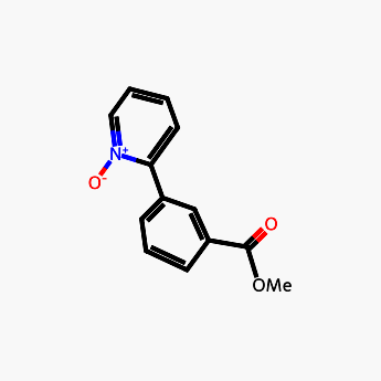 COC(=O)c1cccc(-c2cccc[n+]2[O-])c1